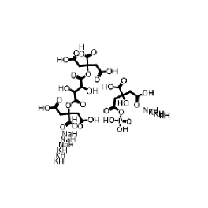 O=C(O)CC(CC(=O)O)(OC(=O)C(O)C(O)C(=O)OC(CC(=O)O)(CC(=O)O)C(=O)O)C(=O)O.O=C(O)CC(O)(CC(=O)OP(=O)(O)O)C(=O)O.[KH].[KH].[KH].[KH].[KH].[KH].[NaH].[NaH].[NaH].[NaH]